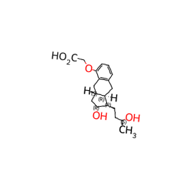 C[C@H](O)CC[C@@H]1[C@@H]2Cc3cccc(OCC(=O)O)c3C[C@H]2C[C@H]1O